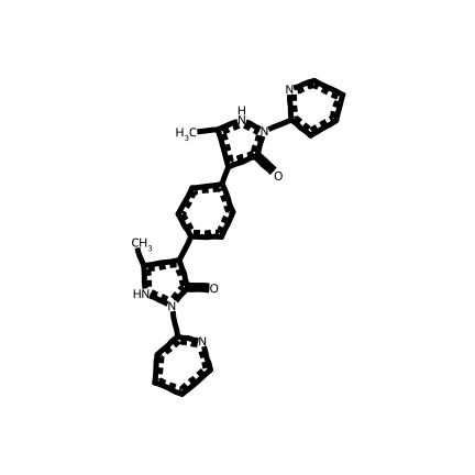 Cc1[nH]n(-c2ccccn2)c(=O)c1-c1ccc(-c2c(C)[nH]n(-c3ccccn3)c2=O)cc1